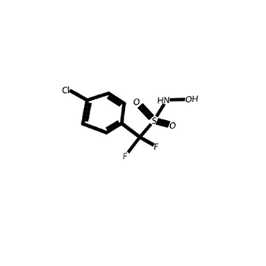 O=S(=O)(NO)C(F)(F)c1ccc(Cl)cc1